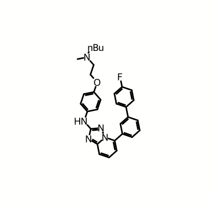 CCCCN(C)CCOc1ccc(Nc2nc3cccc(-c4cccc(-c5ccc(F)cc5)c4)n3n2)cc1